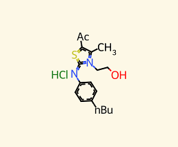 CCCCc1ccc(N=c2sc(C(C)=O)c(C)n2CCO)cc1.Cl